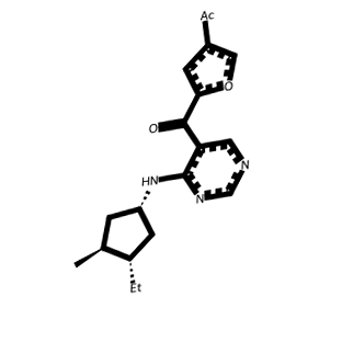 CC[C@H]1C[C@@H](Nc2ncncc2C(=O)c2cc(C(C)=O)co2)C[C@@H]1C